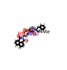 CNC(=O)C(Cc1ccccc1)NC(=O)[C@H](CC(C)C)N[C@H](CCN1C(=O)c2cccc3cccc(c23)C1=O)P(=O)(O)O